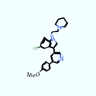 COc1ccc(-c2cncc(-c3cn(CCN4CCCCC4)c4ccc(Cl)cc34)c2)cc1